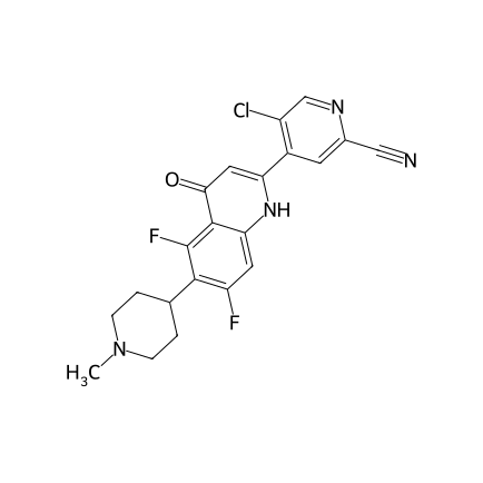 CN1CCC(c2c(F)cc3[nH]c(-c4cc(C#N)ncc4Cl)cc(=O)c3c2F)CC1